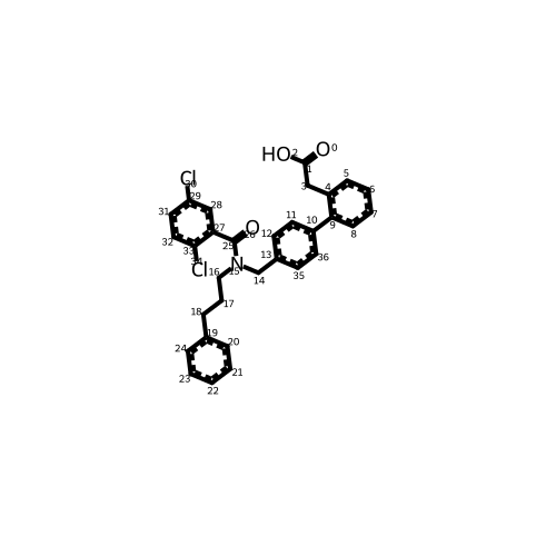 O=C(O)Cc1ccccc1-c1ccc(CN(CCCc2ccccc2)C(=O)c2cc(Cl)ccc2Cl)cc1